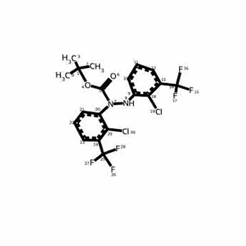 CC(C)(C)OC(=O)N(Nc1cccc(C(F)(F)F)c1Cl)c1cccc(C(F)(F)F)c1Cl